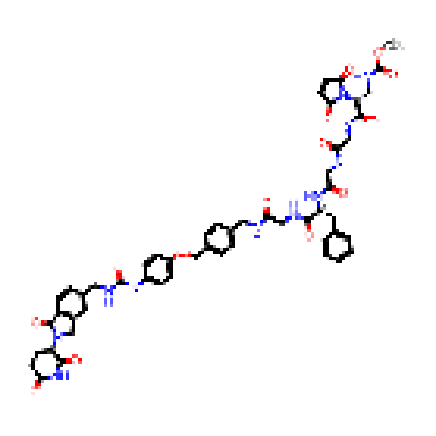 CC(C)(C)OC(=O)NC[C@@H](C(=O)NCC(=O)NCC(=O)N[C@@H](Cc1ccccc1)C(=O)NCC(=O)NCc1ccc(COc2ccc(NC(=O)NCc3ccc4c(c3)CN(C3CCC(=O)NC3=O)C4=O)cc2)cc1)N1C(=O)C=CC1=O